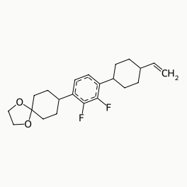 C=CC1CCC(c2ccc(C3CCC4(CC3)OCCO4)c(F)c2F)CC1